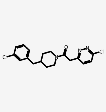 O=C(Cc1ccc(Cl)nn1)N1CCC(Cc2cccc(Cl)c2)CC1